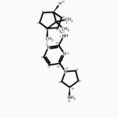 CC1(C)[C@@H]2CC[C@@]1(C)[C@@H](Nc1nccc(N3CC[C@@H](N)C3)n1)C2